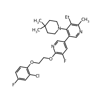 CCc1c(C)ncc(-c2cnc(OCCOc3ccc(F)cc3Cl)c(F)c2)c1N1CCC(C)(C)CC1